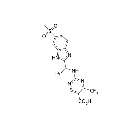 CC(C)C(Nc1ncc(C(=O)O)c(C(F)(F)F)n1)c1nc2ccc(S(C)(=O)=O)cc2[nH]1